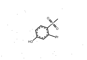 CC(C)c1cc(O)ccc1S(C)(=O)=O